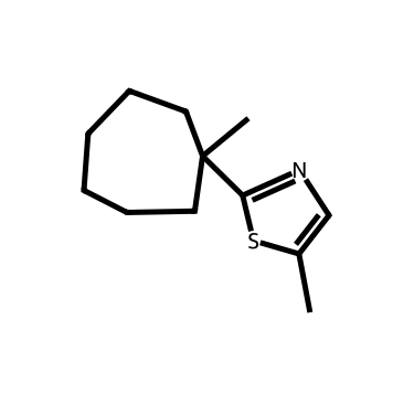 Cc1cnc(C2(C)CCCCCC2)s1